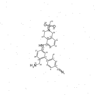 Cc1cc(C#N)ccc1-c1cc(Nc2cccc3c2CCN(S(C)(=O)=O)C3)ccc1CN